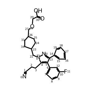 N#CCCc1c(-c2cccc(F)c2)c(-c2ccccc2)nn1CC1CCC(COCC(=O)O)CC1